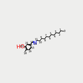 CCCCCCCCCCCCN=Cc1ccc(C)c(O)c1